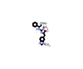 COCC(NC1=N/C(=C\c2ccc3ncn(C)c3c2)C(=O)N1C)c1ccccc1